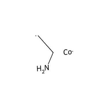 [CH2]CN.[Co]